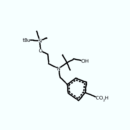 CC(C)(CO)N(CCO[Si](C)(C)C(C)(C)C)Cc1ccc(C(=O)O)cc1